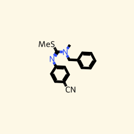 CSC(=Nc1ccc(C#N)cc1)N(C)Cc1ccccc1